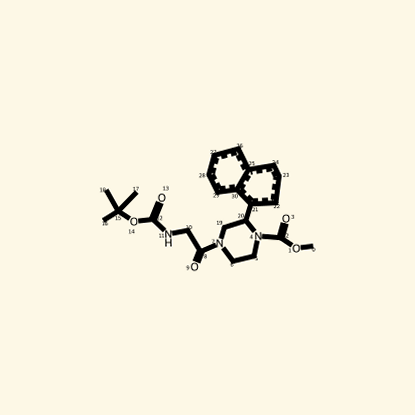 COC(=O)N1CCN(C(=O)CNC(=O)OC(C)(C)C)CC1c1cccc2ccccc12